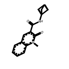 Cn1c(=O)c(C(=O)NC23CC(C2)C3)cc2ccccc21